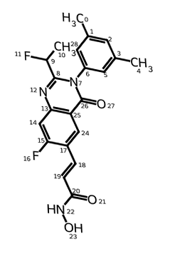 Cc1cc(C)cc(-n2c(C(C)F)nc3cc(F)c(/C=C/C(=O)NO)cc3c2=O)c1